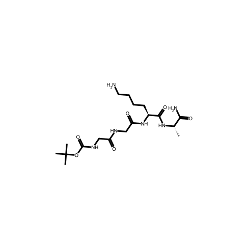 C[C@H](NC(=O)[C@H](CCCCN)NC(=O)CNC(=O)CNC(=O)OC(C)(C)C)C(N)=O